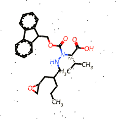 CCCC(CNN(C(=O)OCC1c2ccccc2-c2ccccc21)[C@H](C(=O)O)C(C)C)CC1CO1